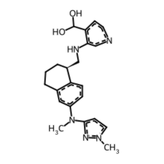 CN(c1ccc2c(c1)CCC[C@H]2CNc1cnccc1C(O)O)c1ccn(C)n1